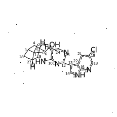 CC1(C)C2C[C@H](CO)C(Nc3nc(-c4c[nH]c5ncc(Cl)cc45)ncc3F)[C@@H]1C2